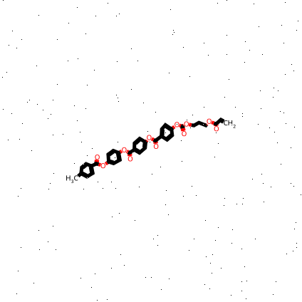 C=CC(=O)OCCCOC(=O)Oc1ccc(C(=O)Oc2ccc(C(=O)Oc3ccc(OC(=O)c4ccc(C)cc4)cc3)cc2)cc1